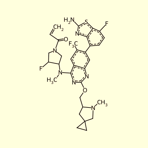 C=CC(=O)N1CC(F)C(N(C)c2nc(OCC3CC4(CC4)CN3C)nc3cc(-c4ccc(F)c5sc(N)nc45)c(C(F)(F)F)cc23)C1